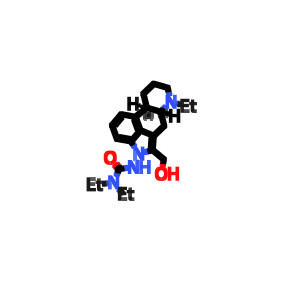 CCN(CC)C(=O)Nn1c(CO)c2c3c(cccc31)[C@H]1CCCN(CC)[C@@H]1C2